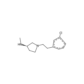 CN[C@@H]1CCN(CCc2cccc(Cl)c2)C1